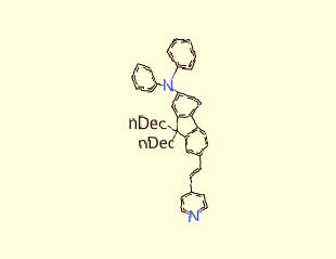 CCCCCCCCCCC1(CCCCCCCCCC)c2cc(C=Cc3ccncc3)ccc2-c2ccc(N(c3ccccc3)c3ccccc3)cc21